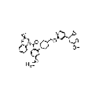 COc1ccc(C(=O)N(CC2(F)CC2)c2ccccc2)c(N2CCC(COc3cc(C(CC(=O)O)C4CC4)ccn3)CC2)c1